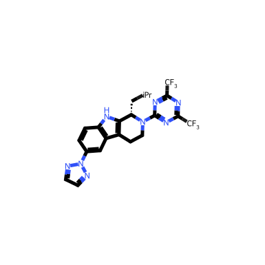 CC(C)C[C@H]1c2[nH]c3ccc(-n4nccn4)cc3c2CCN1c1nc(C(F)(F)F)nc(C(F)(F)F)n1